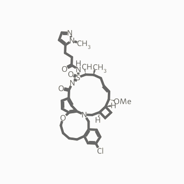 CO[C@H]1/C=C/C[C@H](C)[C@@H](C)S(=O)(NC(=O)CCc2ccnn2C)=NC(=O)c2ccc3c(c2)N(Cc2ccc(Cl)cc2CCCCO3)C[C@@H]2CC[C@H]21